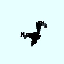 Cc1ccc(S(=O)(=O)N2C(CCCCn3nnc(C)n3)CCC2c2ccc(F)cc2)cc1